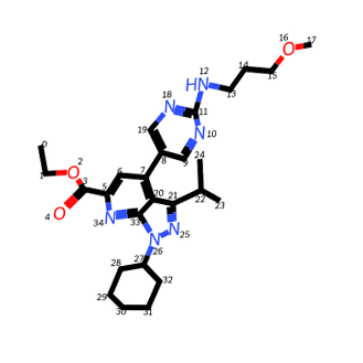 CCOC(=O)c1cc(-c2cnc(NCCCOC)nc2)c2c(C(C)C)nn(C3CCCCC3)c2n1